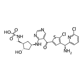 N[C@H](c1cccc(Cl)n1)c1cc(C(=O)c2cncnc2N[C@H]2C[C@H](O)[C@@H]([CH]NS(=O)(=O)O)C2)sc1Cl